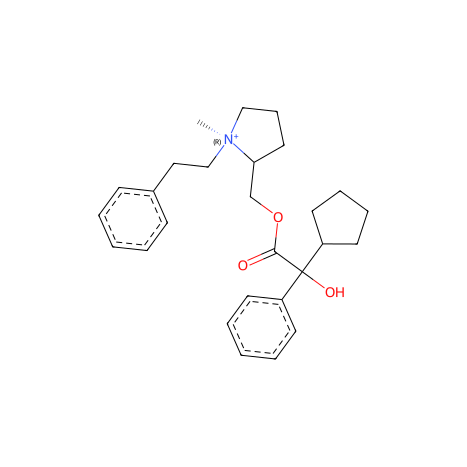 C[N@+]1(CCc2ccccc2)CCCC1COC(=O)C(O)(c1ccccc1)C1CCCC1